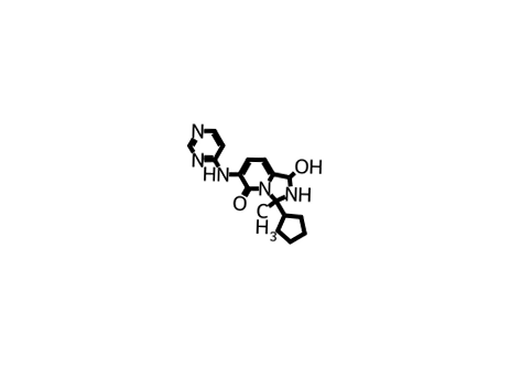 CC1(C2CCCC2)NC(O)c2ccc(Nc3ccncn3)c(=O)n21